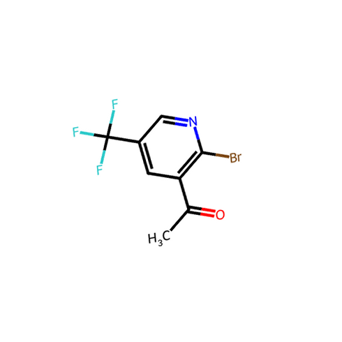 CC(=O)c1cc(C(F)(F)F)cnc1Br